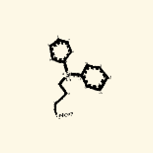 CCCCCCCCCCCC[SiH](c1ccccc1)c1ccccc1